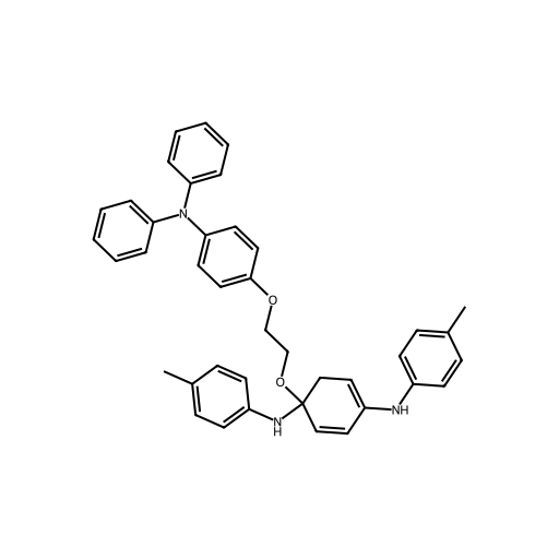 Cc1ccc(NC2=CCC(Nc3ccc(C)cc3)(OCCOc3ccc(N(c4ccccc4)c4ccccc4)cc3)C=C2)cc1